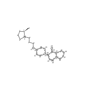 C[C@@H]1CCCN1CCCOc1ccc(-n2cnc3ccccc3c2=O)cc1